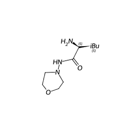 CC[C@H](C)[C@H](N)C(=O)NN1CCOCC1